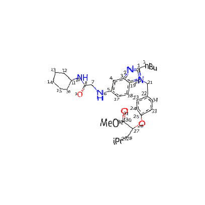 CCCCc1nc2cc(NCC(=O)NC3CCCCC3)ccc2n1Cc1ccc(OC(CC(C)C)C(=O)OC)cc1